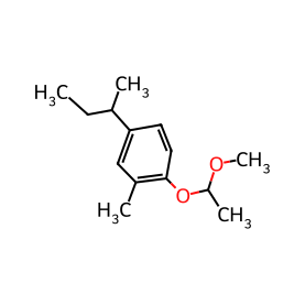 CCC(C)c1ccc(OC(C)OC)c(C)c1